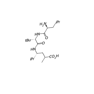 CC(C)C[C@H](N)C(=O)N[C@H](C(=O)N[C@H](CC(C)C(=O)O)C(C)C)C(C)(C)C